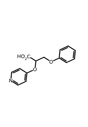 O=C(O)C(COc1ccccc1)Oc1ccncc1